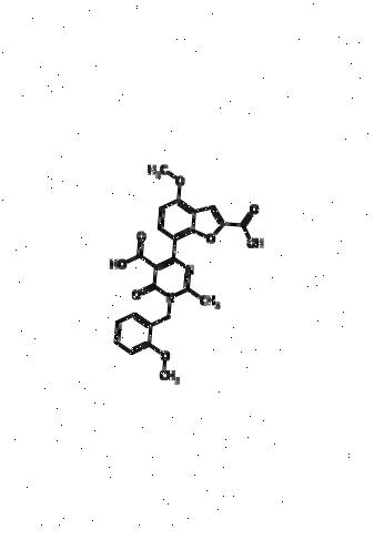 COc1ccccc1Cn1c(C)nc(-c2ccc(OC)c3cc(C(=O)O)oc23)c(C(=O)O)c1=O